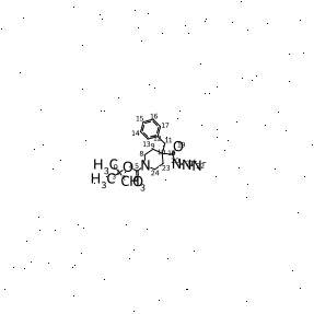 CC(C)(C)OC(=O)N1CCC(Cc2ccccc2)(C(=O)N=[N+]=[N-])CC1